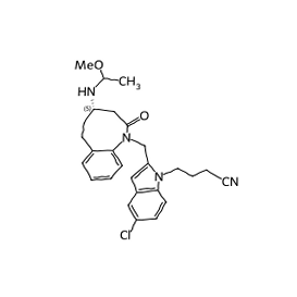 COC(C)N[C@H]1CCc2ccccc2N(Cc2cc3cc(Cl)ccc3n2CCCC#N)C(=O)C1